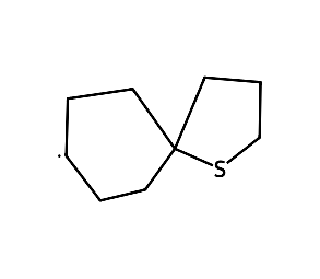 [CH]1CCC2(CC1)CCCS2